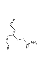 C=C/C=C\C(=C/C=C)CCNN